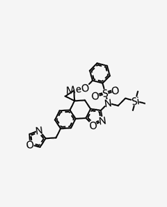 COc1ccccc1S(=O)(=O)N(CC[Si](C)(C)C)c1noc2c1CC1(CC1)c1ccc(Cc3cocn3)cc1-2